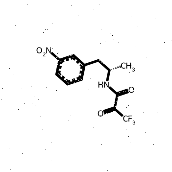 C[C@@H](Cc1cccc([N+](=O)[O-])c1)NC(=O)C(=O)C(F)(F)F